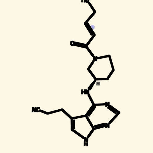 N#CCCc1c[nH]c2ncnc(N[C@@H]3CCCN(C(=O)/C=C/CO)C3)c12